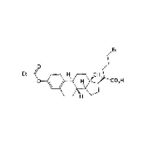 CCC(=O)Oc1ccc2c(c1)CC[C@@H]1[C@@H]2CC[C@]2(C)[C@@H](C(CCCBr)C(=O)O)CC[C@@H]12